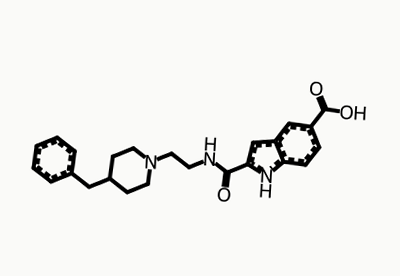 O=C(O)c1ccc2[nH]c(C(=O)NCCN3CCC(Cc4ccccc4)CC3)cc2c1